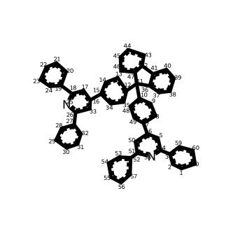 c1ccc(-c2cc(-c3ccc(C4(c5ccc(-c6cc(-c7ccccc7)nc(-c7ccccc7)c6)cc5)c5ccccc5-c5ccccc54)cc3)cc(-c3ccccc3)n2)cc1